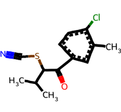 Cc1cc(C(=O)C(SC#N)C(C)C)ccc1Cl